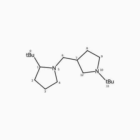 CC(C)(C)C1CCCN1CC1CCN(C(C)(C)C)C1